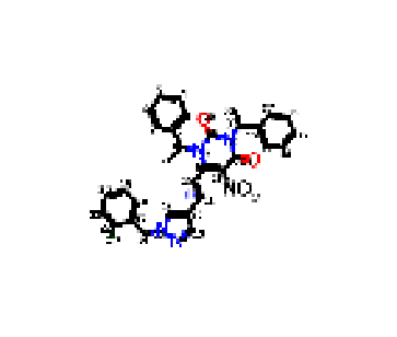 CC(c1ccccc1)n1c(/C=C/c2cnn(Cc3ccccc3F)c2)c([N+](=O)[O-])c(=O)n(C(C)c2ccccc2)c1=O